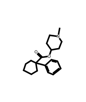 CN1CCC(OC(=O)C2(c3ccccc3)CCCCC2)CC1